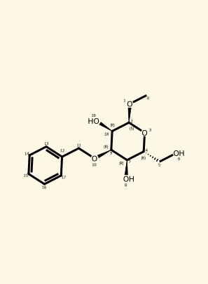 CO[C@H]1O[C@H](CO)[C@@H](O)[C@@H](OCc2ccccc2)[C@H]1O